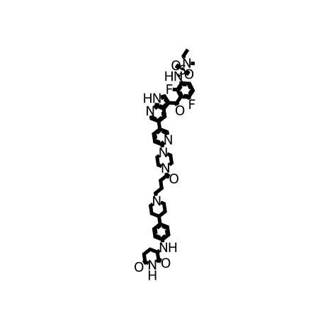 CCN(C)S(=O)(=O)Nc1ccc(F)c(C(=O)c2c[nH]c3ncc(-c4ccc(N5CCN(C(=O)CCCN6CCC(c7ccc(NC8CCC(=O)NC8=O)cc7)CC6)CC5)nc4)cc23)c1F